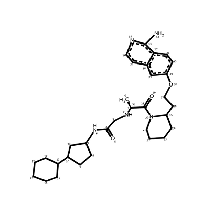 C[C@H](NCC(=O)NC1CCC(C2CCCCC2)C1)C(=O)N1CCCCC1CCOc1ccc2c(N)nccc2c1